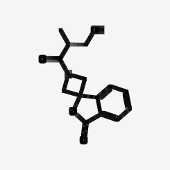 CC(CO)C(=O)N1CC2(C1)OC(=O)c1ccccc12